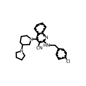 N#Cc1c(NCc2ccc(Cl)cc2)nc2ccccc2c1N1CCCC(N2CCCC2)C1